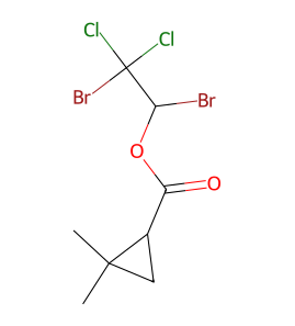 CC1(C)CC1C(=O)OC(Br)C(Cl)(Cl)Br